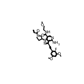 C=CC(=O)N1CCC(n2nc(C#Cc3cc(OC)cc(OC)c3F)c3c(N)ncc(C(=O)NCCOC)c32)C1